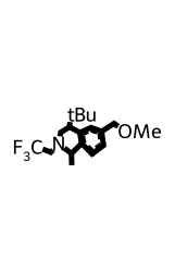 COCc1ccc2c(c1)C(C(C)(C)C)CN(CC(F)(F)F)C2C